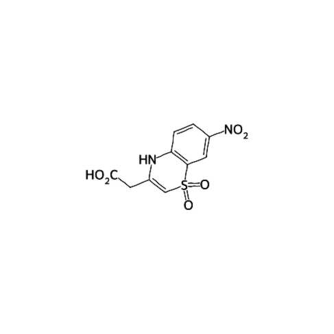 O=C(O)CC1=CS(=O)(=O)c2cc([N+](=O)[O-])ccc2N1